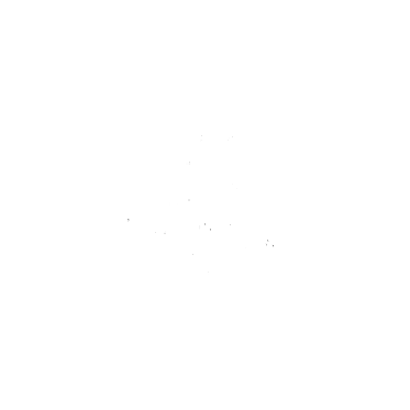 N[C@@H]1CC[C@H](CC(=O)O)N(Cc2ccccc2)C1